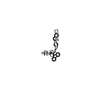 CCCNC(=O)OC1(CCCCN2CCN(c3ccc4cc(Cl)ccc4n3)CC2)c2ccccc2-c2ccccc21